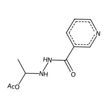 CC(=O)OC(C)NNC(=O)c1cccnc1